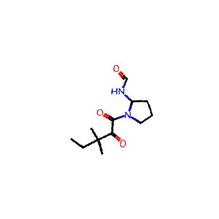 CCC(C)(C)C(=O)C(=O)N1CCCC1NC=O